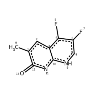 Cc1cc2c(F)c(F)c[nH]c-2nc1=O